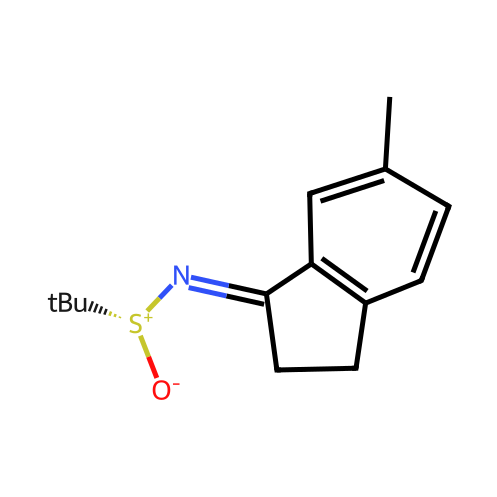 Cc1ccc2c(c1)/C(=N/[S@+]([O-])C(C)(C)C)CC2